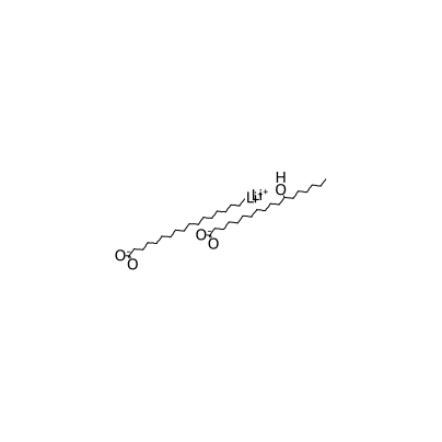 CCCCCCC(O)CCCCCCCCCCC(=O)[O-].CCCCCCCCCCCCCCCCCC(=O)[O-].[Li+].[Li+]